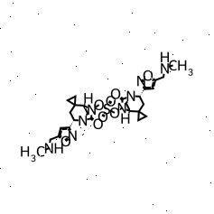 CNCc1cc([C@@H]2CC3(CC3)[C@@H]3CN2C(=O)N3OS(=O)(=O)ON2C(=O)N3C[C@H]2C2(CC2)C[C@H]3c2cc(CNC)on2)no1